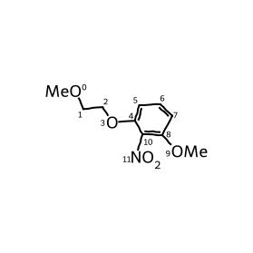 COCCOc1cccc(OC)c1[N+](=O)[O-]